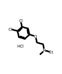 CCN(C)CCOc1ccc(Cl)c(Cl)c1.Cl